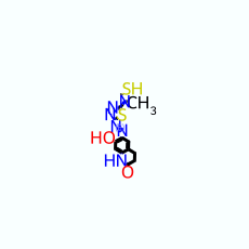 CN(CS)c1nnc(/N=N/c2cc3c(cc2O)NC(=O)CC3)s1